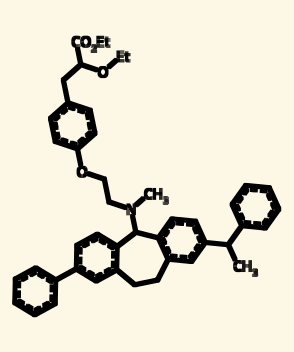 CCOC(=O)C(Cc1ccc(OCCN(C)C2c3ccc(-c4ccccc4)cc3CCc3cc(C(C)c4ccccc4)ccc32)cc1)OCC